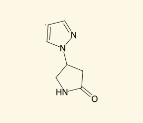 O=C1CC(n2c[c]cn2)CN1